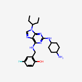 CCC(CC)n1cnc2c(NCc3cc(F)ccc3O)nc(NC3CCC(N)CC3)nc21